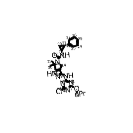 CCCOc1nc(Cl)nc(Nc2n[nH]c3c2CN(C(=O)N[C@H]2C[C@@H]2c2ccccc2)C3(C)C)n1